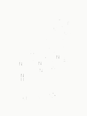 CCN(C(=O)Cn1nc(-c2cc(Cl)cc(C#N)c2)c2[nH]cnc2c1=O)c1ccc2c(c1)OC(F)(F)O2